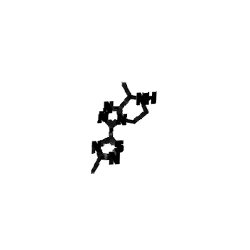 Cc1nsc(-c2nnc3n2CCNC3C)n1